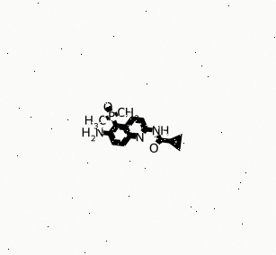 CP(C)(=O)c1c(N)ccc2nc(NC(=O)C3CC3)ccc12